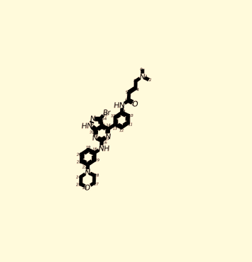 CN(C)C/C=C/C(=O)Nc1cccc(-c2nc(Nc3cccc(N4CCOCC4)c3)nc3[nH]nc(Br)c23)c1